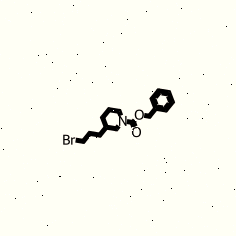 O=C(OCc1ccccc1)N1CCCC(CCCBr)C1